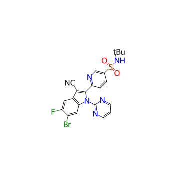 CC(C)(C)NS(=O)(=O)c1ccc(-c2c(C#N)c3cc(F)c(Br)cc3n2-c2ncccn2)nc1